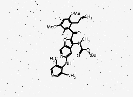 C=CCc1c(OC)cc(OC)c(F)c1C(=O)c1oc2cnc(Nc3c(C)cncc3N)cc2c1N(C)C(=O)OC(C)(C)C